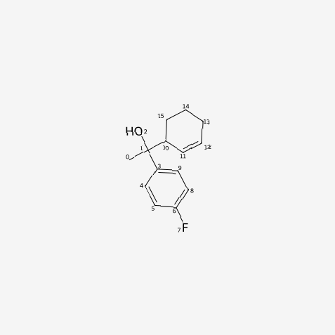 CC(O)(c1ccc(F)cc1)C1C=CCCC1